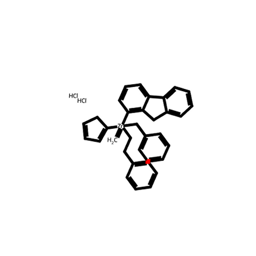 Cl.Cl.[CH2]=[Zr]([CH2]Cc1ccccc1)([CH2]c1ccccc1)([C]1=CC=CC1)[c]1cccc2c1Cc1ccccc1-2